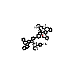 CCc1c(C2CCc3ccccc3-c3cc4c5c(c32)-c2ccc3cc(-c6ccc7c8cc9c%10c(c8n(-c8nc(-c%11ccc(C#N)cc%11)c%11ncccc%11n8)c7c6)-c6ccc7ccccc7c6C(CC%10)c6ccccc6-9)ccc3c2C(CC5)c2ccccc2-4)nc(C#N)c2c1C=CCN2